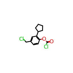 O=C(Cl)Oc1ccc(CCl)cc1C1CCCC1